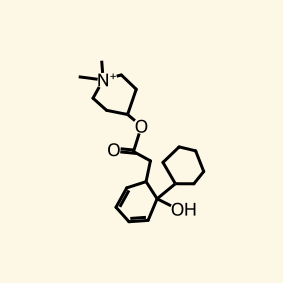 C[N+]1(C)CCC(OC(=O)CC2C=CC=CC2(O)C2CCCCC2)CC1